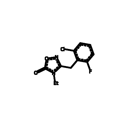 CCn1c(Cc2c(F)cccc2Cl)noc1=O